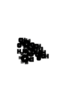 CC(=O)c1ccc2c(c1)[C@H](N(N)C(=O)c1ccccc1Cl)[C@H](OCOP(=O)(O)O)C(C)(C)O2